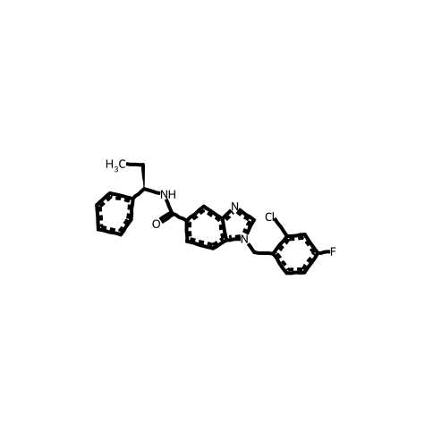 CC[C@@H](NC(=O)c1ccc2c(c1)ncn2Cc1ccc(F)cc1Cl)c1ccccc1